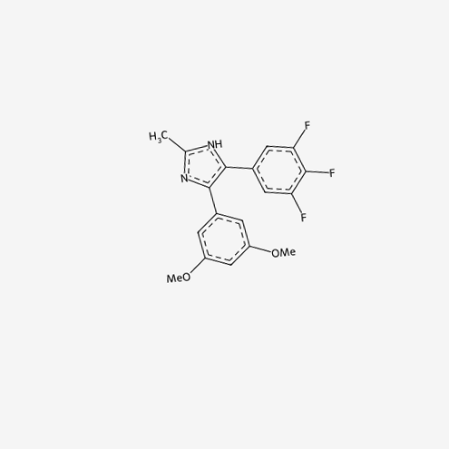 COc1cc(OC)cc(-c2nc(C)[nH]c2-c2cc(F)c(F)c(F)c2)c1